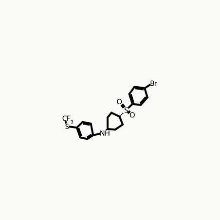 O=S(=O)(c1ccc(Br)cc1)[C@H]1CC[C@H](Nc2ccc(SC(F)(F)F)cc2)CC1